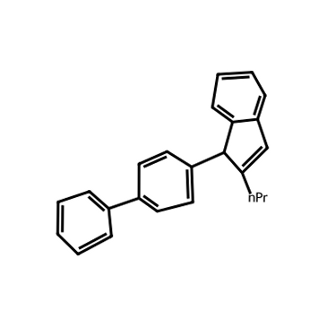 CCCC1=Cc2ccccc2C1c1ccc(-c2ccccc2)cc1